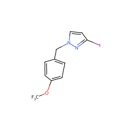 FC(F)(F)Oc1ccc(Cn2ccc(I)n2)cc1